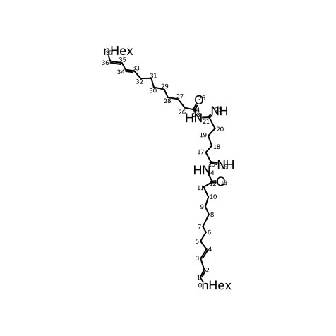 CCCCCCC=CC=CCCCCCCCC(=O)NC(=N)CCCCC(=N)NC(=O)CCCCCCCC=CC=CCCCCCC